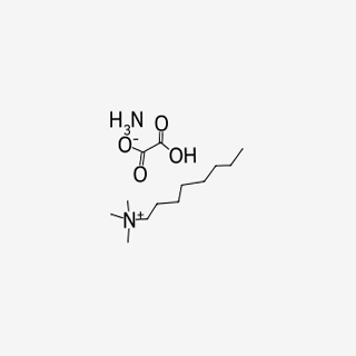 CCCCCCCC[N+](C)(C)C.N.O=C([O-])C(=O)O